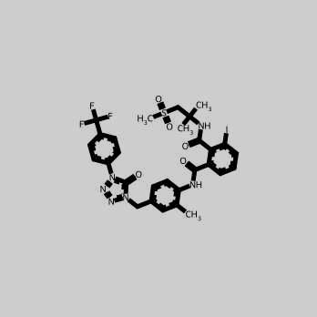 Cc1cc(Cn2nnn(-c3ccc(C(F)(F)F)cc3)c2=O)ccc1NC(=O)c1cccc(I)c1C(=O)NC(C)(C)CS(C)(=O)=O